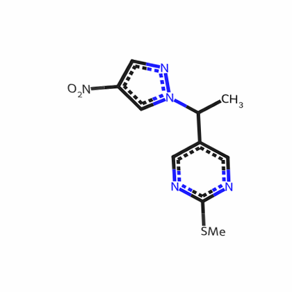 CSc1ncc(C(C)n2cc([N+](=O)[O-])cn2)cn1